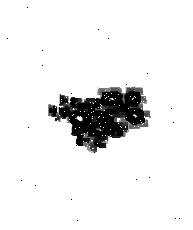 C=C(C)[C@@H]1/C(=N/N)C[C@@H](C)[C@@]2(O)[C@H]1C=C(COC(c1ccccc1)(c1ccccc1)c1ccccc1)C[C@]1(O)C(=O)C(C)=C[C@@H]21